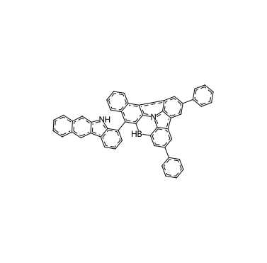 B1c2cc(-c3ccccc3)cc3c4cc(-c5ccccc5)cc5c6c7ccccc7c(-c7cccc8c7[nH]c7cc9ccccc9cc78)c1c6n(c23)c45